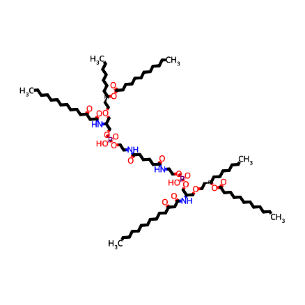 CCCCCCCCCCCC(=O)CC(=O)NC(COCC[C@@H](CCCCCCC)OC(=O)CCCCCCCCCCC)COP(=O)(O)OCCNC(=O)CCCCC(=O)NCCOP(=O)(O)OCC(COCC[C@@H](CCCCCCC)OC(=O)CCCCCCCCCCC)NC(=O)CC(=O)CCCCCCCCCCC